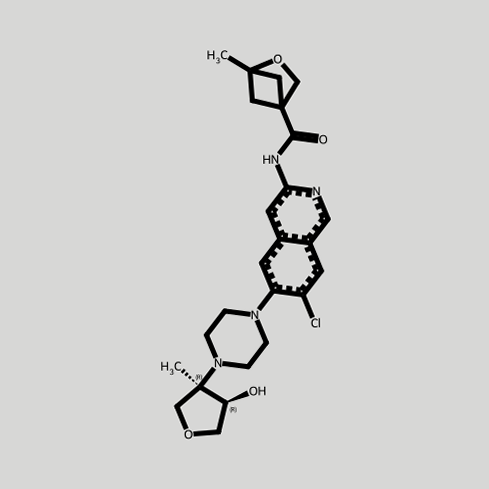 CC12CC(C(=O)Nc3cc4cc(N5CCN([C@]6(C)COC[C@@H]6O)CC5)c(Cl)cc4cn3)(CO1)C2